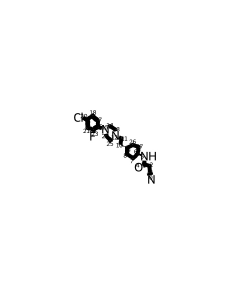 N#CCC(=O)N[C@H]1CC[C@H](CCN2CCN(c3ccc(Cl)cc3F)CC2)CC1